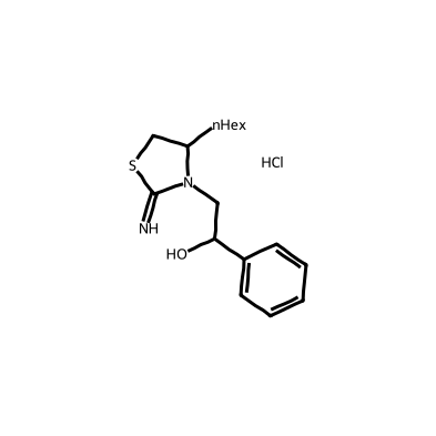 CCCCCCC1CSC(=N)N1CC(O)c1ccccc1.Cl